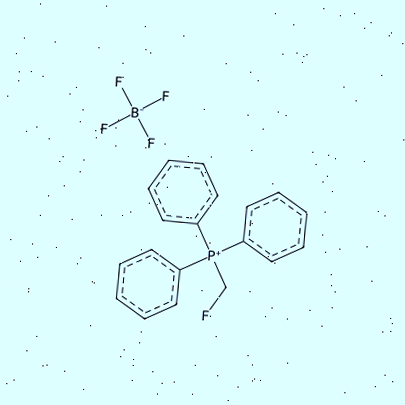 FC[P+](c1ccccc1)(c1ccccc1)c1ccccc1.F[B-](F)(F)F